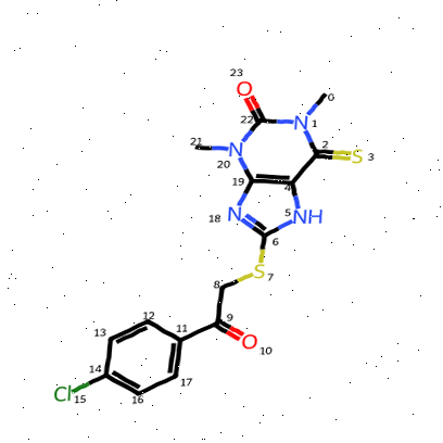 Cn1c(=S)c2[nH]c(SCC(=O)c3ccc(Cl)cc3)nc2n(C)c1=O